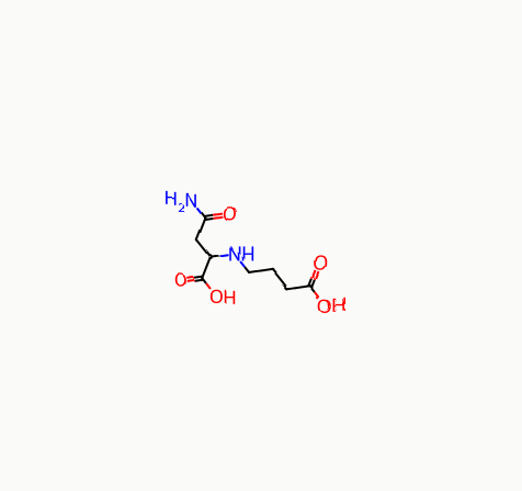 NC(=O)CC(NCCCC(=O)O)C(=O)O